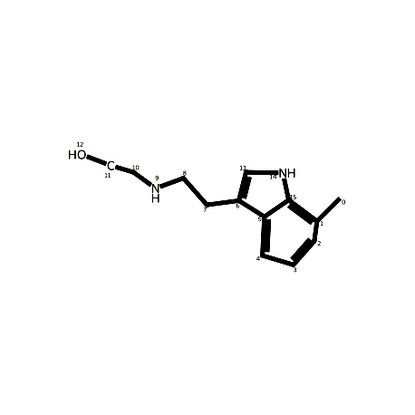 Cc1cccc2c(CCNCCO)c[nH]c12